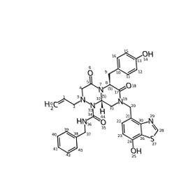 C=CCN1CC(=O)N2[C@@H](Cc3ccc(O)cc3)C(=O)N(Cc3ccc(O)c4scnc34)C[C@@H]2N1C(=O)NCc1ccccc1